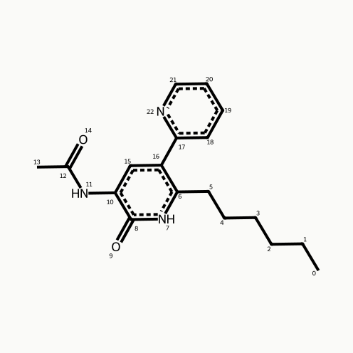 CCCCCCc1[nH]c(=O)c(NC(C)=O)cc1-c1ccccn1